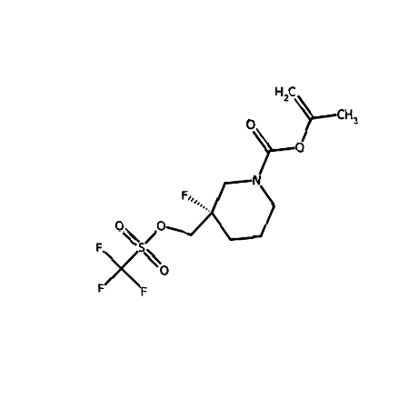 C=C(C)OC(=O)N1CCC[C@@](F)(COS(=O)(=O)C(F)(F)F)C1